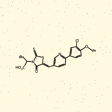 CCC(C)C(C(=O)O)N1C(=O)C(=Cc2ccc(-c3ccc(OC(C)C)c(Cl)c3)nc2)SC1=S